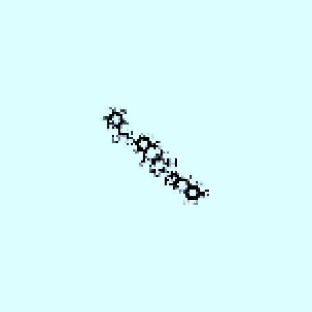 CN1C(=O)[C@@H](NC(=O)n2cc(Cc3cccc(F)c3)cn2)COc2ccc(OCC(=O)c3ccccn3)cc21